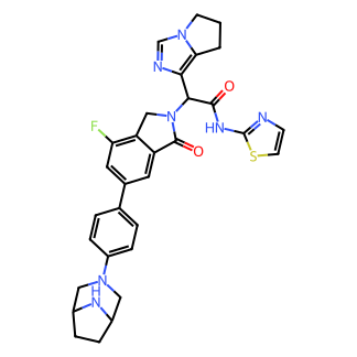 O=C(Nc1nccs1)C(c1ncn2c1CCC2)N1Cc2c(F)cc(-c3ccc(N4CC5CCC(C4)N5)cc3)cc2C1=O